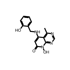 Cc1ncnc2c1c(NCc1ccccc1O)cc(=O)n2O